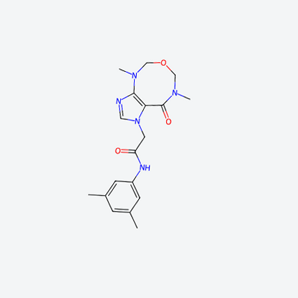 Cc1cc(C)cc(NC(=O)Cn2cnc3c2C(=O)N(C)COCN3C)c1